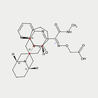 CNC(=O)/C(=N\OCC(=O)O)c1nc2ccccc2n([C@H]2C[C@H]3CCC[C@@H](C2)N3C2C[C@H]3CCCC[C@@H](C2)C3)c1=O